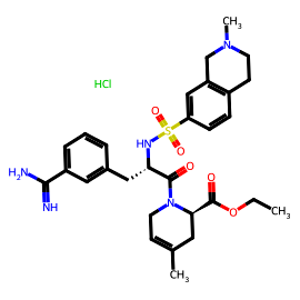 CCOC(=O)[C@H]1CC(C)=CCN1C(=O)[C@H](Cc1cccc(C(=N)N)c1)NS(=O)(=O)c1ccc2c(c1)CN(C)CC2.Cl